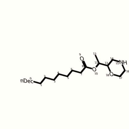 CCCCCCCCCCCCCCCCCC(=O)OC(C)C1CNCCO1